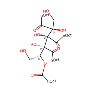 CCCCCCCCC(=O)O[C@H](CO)[C@](O)(C(=O)CCCCCCCC)[C@@](O)(C(=O)CCCCCCCC)[C@@](O)(CO)C(=O)CCCCCCCC